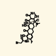 CN(C)[C@@]1(Cl)C(O)=C(C(N)=O)C(=O)[C@]2(O)C(O)=C3C(=O)c4c(cc(F)c(NC(=O)CBr)c4O)CC3CC21